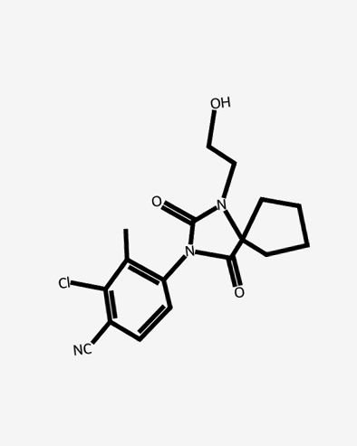 Cc1c(N2C(=O)N(CCO)C3(CCCC3)C2=O)ccc(C#N)c1Cl